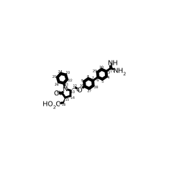 N=C(N)c1ccc(-c2ccc(OC[C@@H]3C[C@@H](CC(=O)O)C(=O)N3c3ccccc3)cc2)cc1